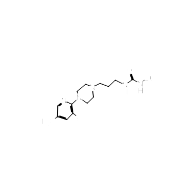 CCNC(=O)NCCCN1CCN(c2ncc(C(F)(F)F)cc2Cl)CC1